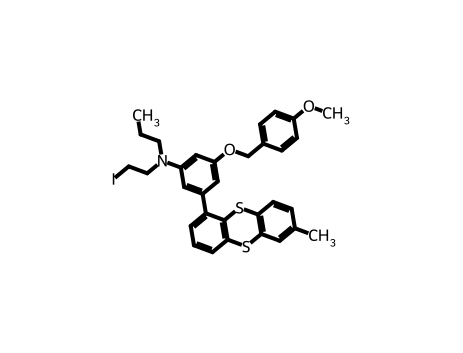 CCCN(CCI)c1cc(OCc2ccc(OC)cc2)cc(-c2cccc3c2Sc2ccc(C)cc2S3)c1